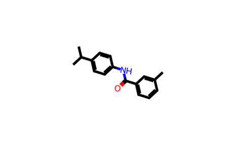 Cc1cccc(C(=O)Nc2ccc(C(C)C)cc2)c1